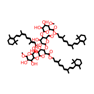 COC1OC(C(=O)OC/C=C(C)/C=C/C=C(C)\C=C\C2=C(C)CCCC2(C)C)C(OC2OC(C(=O)OC/C=C(C)/C=C/C=C(C)\C=C\C3=C(C)CCCC3(C)C)C(OC3OC(C=O)C(OC4OC(C(=O)OC/C=C(C)/C=C/C=C(C)\C=C\C5=C(C)CCCC5(C)C)C(OC)C(O)C4O)C(O)C3O)C(O)C2O)C(O)C1O